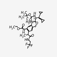 CCOC(=O)Nc1cc(NC(=O)[C@@H](NC(=O)OC(C)(C)C)C(=C2CC2)C2CC2)c(F)cc1C(C)C(=O)NCC(F)(F)F